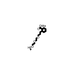 COC(=O)c1ccccc1CCCOCCOCCOPI